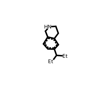 CCC(CC)c1ccc2c(c1)CCNC2